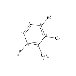 Cc1c(F)ccc(Br)c1Cl